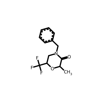 CC1OC(C(F)(F)F)CN(Cc2ccccc2)C1=O